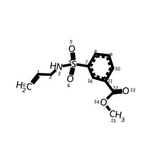 C=CCNS(=O)(=O)c1cccc(C(=O)OC)c1